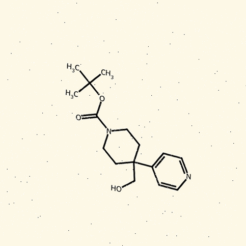 CC(C)(C)OC(=O)N1CCC(CO)(c2ccncc2)CC1